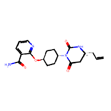 C=CC[C@@H]1CC(=O)N([C@H]2CC[C@H](Oc3ncccc3C(N)=O)CC2)C(=O)N1